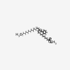 CCCCCCCCCCCC/C=C\[C@@H](/C=C\CCCCCCCCC(=O)OC)OCc1ccccc1